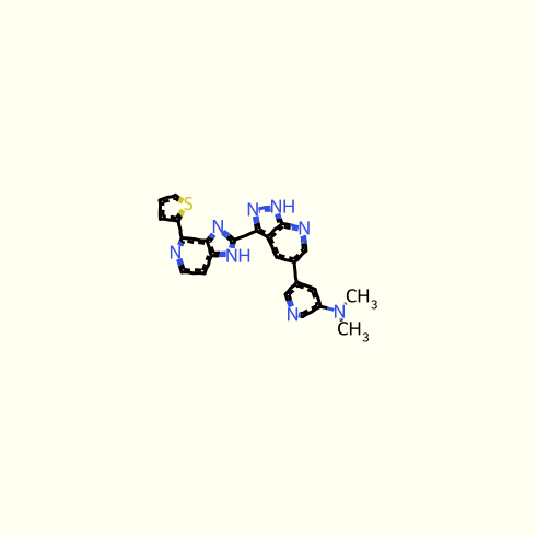 CN(C)c1cncc(-c2cnc3[nH]nc(-c4nc5c(-c6cccs6)nccc5[nH]4)c3c2)c1